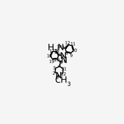 CN1CCC(c2nn(-c3ccccc3N)c3ccccc23)CC1